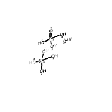 O=P(O)(O)O.O[Si](O)(O)O.[NaH]